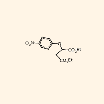 CCOC(=O)CC(Oc1ccc([N+](=O)[O-])cc1)C(=O)OCC